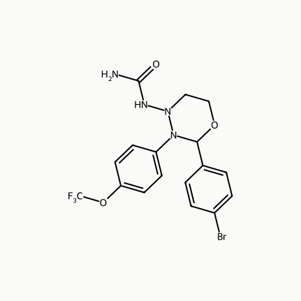 NC(=O)NN1CCOC(c2ccc(Br)cc2)N1c1ccc(OC(F)(F)F)cc1